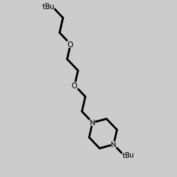 CC(C)(C)CCOCCOCCN1CCN(C(C)(C)C)CC1